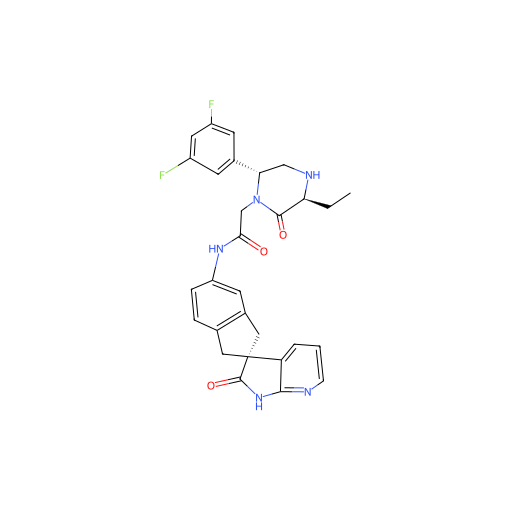 CC[C@@H]1NC[C@@H](c2cc(F)cc(F)c2)N(CC(=O)Nc2ccc3c(c2)C[C@@]2(C3)C(=O)Nc3ncccc32)C1=O